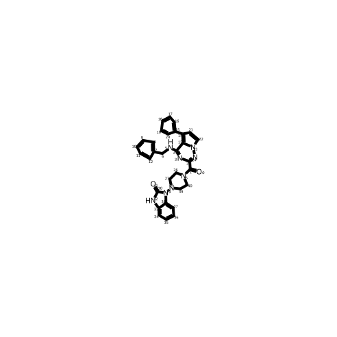 O=C(c1nc(NCc2ccccc2)c2c(-c3ccccc3)ccn2n1)N1CCN(n2c(=O)[nH]c3ccccc32)CC1